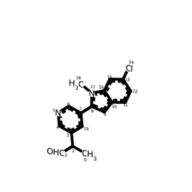 CC(C=O)c1cncc(-c2cc3ccc(Cl)cc3n2C)c1